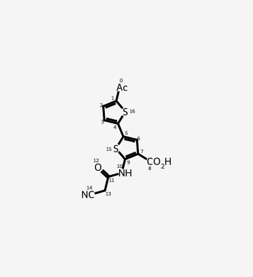 CC(=O)c1ccc(-c2cc(C(=O)O)c(NC(=O)CC#N)s2)s1